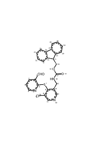 O=Cc1cccnc1Sc1c(Cl)cncc1CNC(=O)OCC1c2ccccc2-c2ccccc21